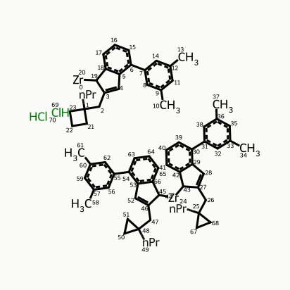 CCCC1(CC2=Cc3c(-c4cc(C)cc(C)c4)cccc3[CH]2[Zr])CCC1.CCCC1(CC2=Cc3c(-c4cc(C)cc(C)c4)cccc3[CH]2[Zr][CH]2C(CC3(CCC)CC3)=Cc3c(-c4cc(C)cc(C)c4)cccc32)CC1.Cl.Cl